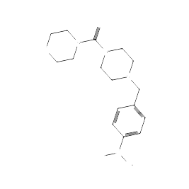 O=C(N1CCOCC1)N1CCN(Cc2ccc(B(O)O)cc2)CC1